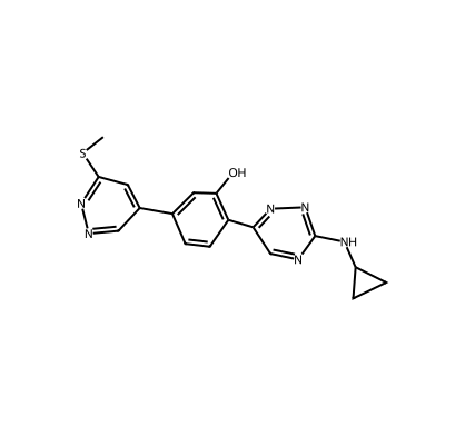 CSc1cc(-c2ccc(-c3cnc(NC4CC4)nn3)c(O)c2)cnn1